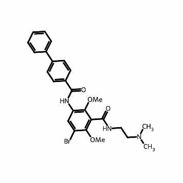 COc1c(Br)cc(NC(=O)c2ccc(-c3ccccc3)cc2)c(OC)c1C(=O)NCCN(C)C